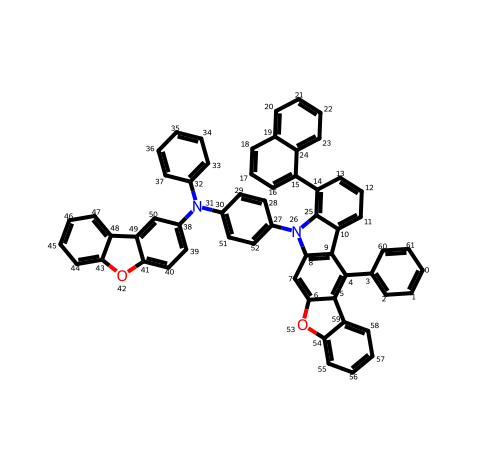 c1ccc(-c2c3c(cc4c2c2cccc(-c5cccc6ccccc56)c2n4-c2ccc(N(c4ccccc4)c4ccc5oc6ccccc6c5c4)cc2)oc2ccccc23)cc1